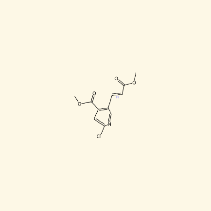 COC(=O)/C=C/c1cnc(Cl)cc1C(=O)OC